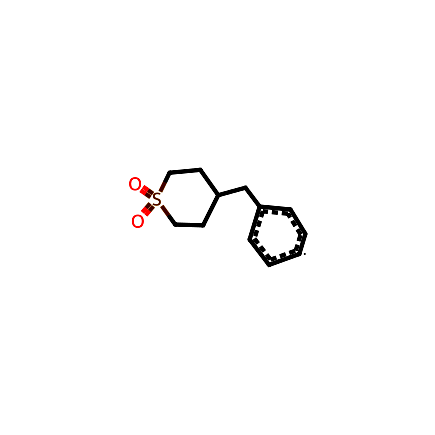 O=S1(=O)CCC(Cc2cc[c]cc2)CC1